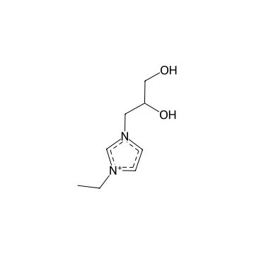 CC[n+]1ccn(CC(O)CO)c1